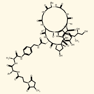 CC[C@H](C)[C@@H]1NC(=O)CNC(=O)[C@@H]2Cc3c([nH]c4cc(O)ccc34)[S+]([O-])C[C@H](NC(=O)CNC1=O)C(=O)N[C@@H](CC(=O)NCc1ccc(NC(=O)[C@H](C)NC(=O)[C@@H](NC(=O)CCN3C(=O)CC(C)C3=O)C(C)C)cc1)C(=O)N1C[C@H](O)C[C@H]1C(=O)N[C@@H]([C@@H](C)[C@@H](O)CO)C(=O)N2